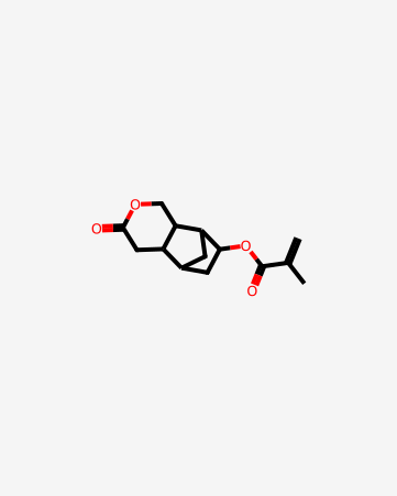 C=C(C)C(=O)OC1CC2CC1C1COC(=O)CC21